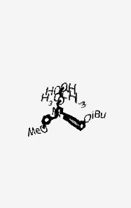 COc1cccc(Cn2nc(COC(C)(C)C(O)O)cc2-c2cccc(OCC(C)C)c2)c1